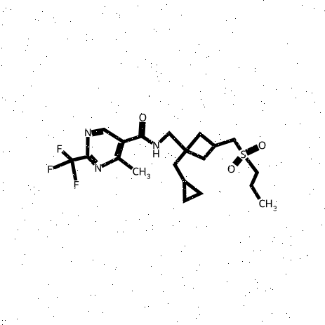 CCCS(=O)(=O)CC1CC(CNC(=O)c2cnc(C(F)(F)F)nc2C)(CC2CC2)C1